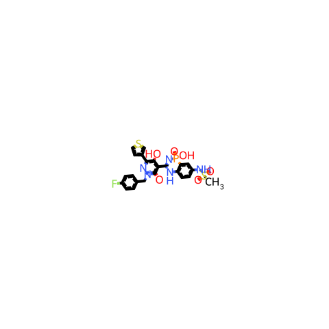 CS(=O)(=O)Nc1ccc2c(c1)P(=O)(O)N=C(c1c(O)c(-c3ccsc3)nn(Cc3ccc(F)cc3)c1=O)N2